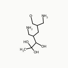 CC(O)(O)C(O)C(CN)CC(CN)C[O]